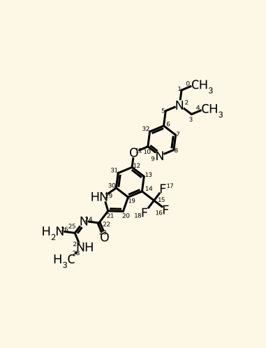 CCN(CC)Cc1ccnc(Oc2cc(C(F)(F)F)c3cc(C(=O)N=C(N)NC)[nH]c3c2)c1